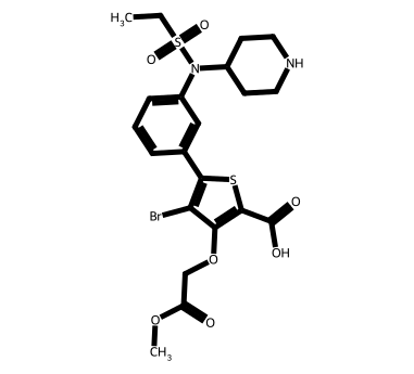 CCS(=O)(=O)N(c1cccc(-c2sc(C(=O)O)c(OCC(=O)OC)c2Br)c1)C1CCNCC1